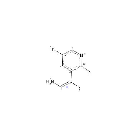 C/C(=C/N)c1cc(F)cnc1C